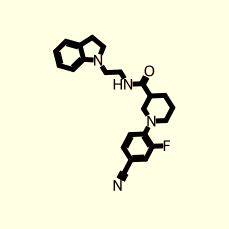 N#Cc1ccc(N2CCCC(C(=O)NCCN3CCc4ccccc43)C2)c(F)c1